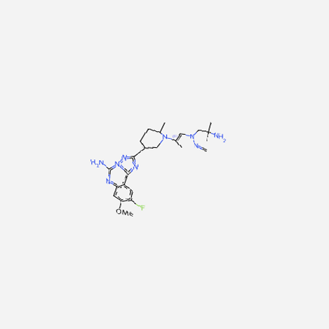 C=NN(/C=C(\C)N1CC(c2nc3c4cc(F)c(OC)cc4nc(N)n3n2)CCC1C)CC(C)(C)N